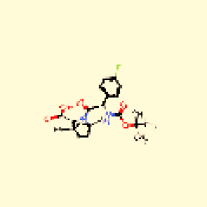 CC(C)(C)OC(=O)N[C@H](C(=O)N1[C@@H]2CC[C@@H](C2)[C@H]1C(=O)O)c1ccc(F)cc1